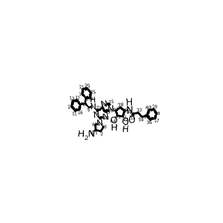 NC1CCN(c2nc(NCC(c3ccccc3)c3ccccc3)c3ncn([C@@H]4C[C@H](NC(=O)CCc5ccccc5)[C@@H](O)[C@H]4O)c3n2)C1